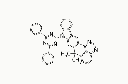 CC1(C)c2cc3c(cc2-c2ncnc4cccc1c24)c1ccccc1n3-c1nc(-c2ccccc2)nc(-c2ccccc2)n1